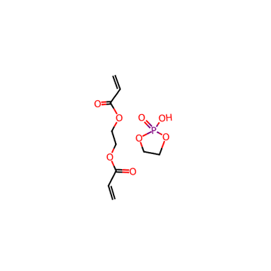 C=CC(=O)OCCOC(=O)C=C.O=P1(O)OCCO1